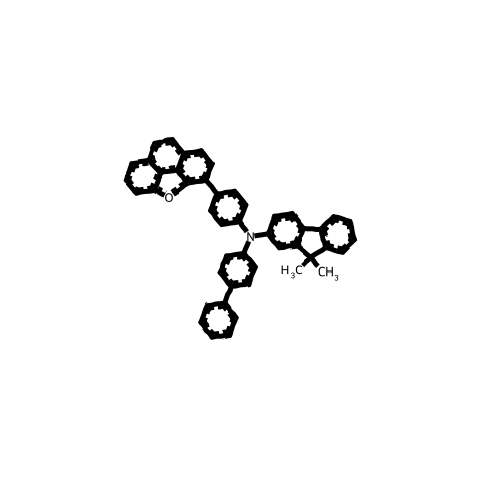 CC1(C)c2ccccc2-c2ccc(N(c3ccc(-c4ccccc4)cc3)c3ccc(-c4ccc5ccc6cccc7oc4c5c67)cc3)cc21